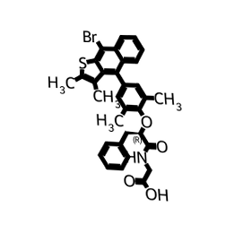 Cc1cc(-c2c3ccccc3c(Br)c3sc(C)c(C)c23)cc(C)c1O[C@H](Cc1ccccc1)C(=O)NCC(=O)O